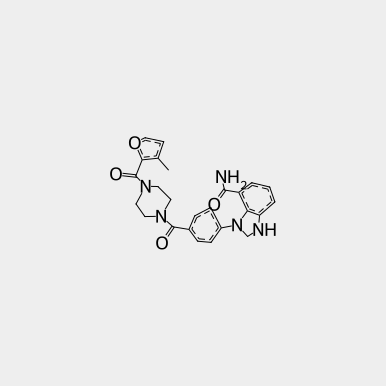 Cc1ccoc1C(=O)N1CCN(C(=O)c2ccc(N3CNc4cccc(C(N)=O)c43)cc2)CC1